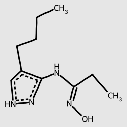 CCCCc1c[nH]nc1NC(CC)=NO